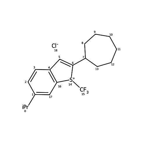 CC(C)c1ccc2cc(C3CCCCCC3)[s+](C(F)(F)F)c2c1.[Cl-]